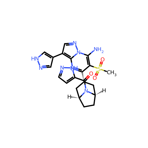 CS(=O)(=O)c1c([C@@H]2C[C@H]3CC[C@@H](C2)N3C(=O)c2ccn[nH]2)nc2c(-c3cn[nH]c3)cnn2c1N